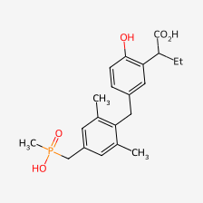 CCC(C(=O)O)c1cc(Cc2c(C)cc(CP(C)(=O)O)cc2C)ccc1O